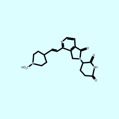 O=C1CCC(N2Cc3c(ccnc3C=CC3CCN(C(=O)O)CC3)C2=O)C(=O)N1